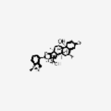 Cn1ncc2c([C@@H]3O[C@@H]4C[C@H]5[C@@H]6C[C@H](F)C7=CC(=O)C=C[C@]7(C)[C@@]6(F)[C@@H](O)C[C@]5(C)[C@]4(C(=O)CO)O3)cccc21